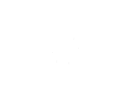 C=CC(F)(F)CC(F)C(C)(F)F